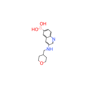 OB(O)c1ccc2ncc(NCC3CCOCC3)cc2c1